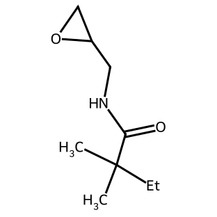 CCC(C)(C)C(=O)NCC1CO1